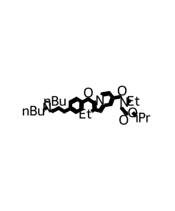 CCCCN(CCCC)CCCc1ccc(C(=O)c2c(CC)cc3cc(C(=O)N(CC)CC(=O)OC(C)C)ccn23)cc1